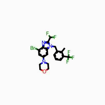 Cc1c(Cn2c(C(F)F)nc3c(Br)cc(N4CCOCC4)cc32)cccc1C(F)(F)F